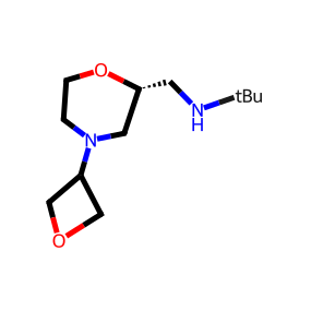 CC(C)(C)NC[C@@H]1CN(C2COC2)CCO1